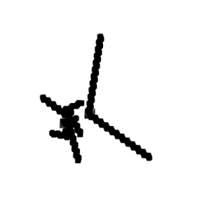 CCCCCCCCCCCCCCCCCCCCCC[CH2][Ni][CH2]CCCCCCCCCCCCCCCCCCCCCC.CCCCCCCCc1cc(CCCC)cc(C2=C(C)C(CCCC)=C(c3cc(CCCC)cc(CCCCCCCC)c3)[N+]2=[N-])c1